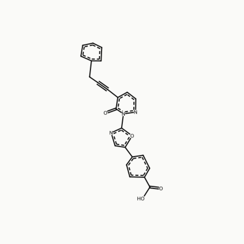 O=C(O)c1ccc(-c2cnc(-n3nccc(C#CCc4ccccc4)c3=O)o2)cc1